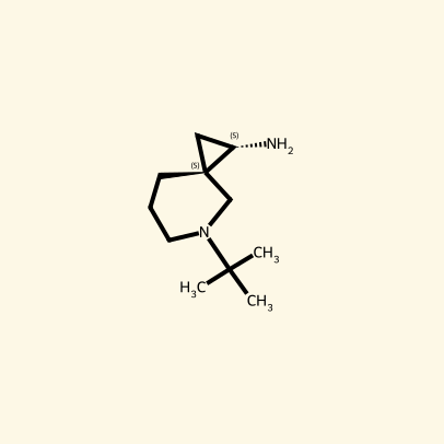 CC(C)(C)N1CCC[C@]2(C[C@@H]2N)C1